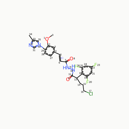 COc1cc(/C=C/C(=O)NNC(=O)C(CCCCl)c2c(F)cc(F)cc2F)ccc1-n1cnc(C)c1